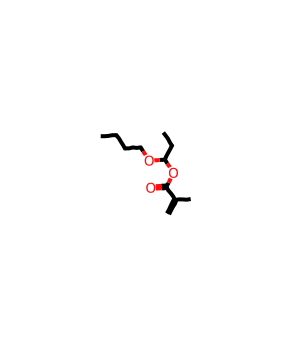 C=C(C)C(=O)OC(CC)OCCCC